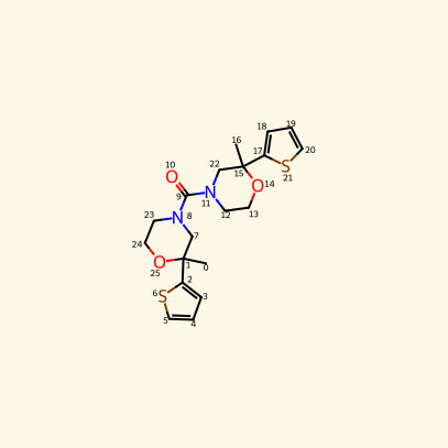 CC1(c2cccs2)CN(C(=O)N2CCOC(C)(c3cccs3)C2)CCO1